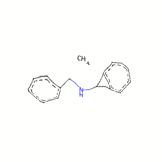 C.c1ccc(CNC2c3ccccc32)cc1